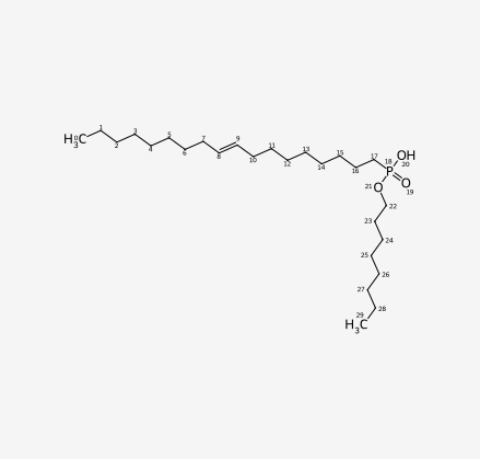 CCCCCCCCC=CCCCCCCCCP(=O)(O)OCCCCCCCC